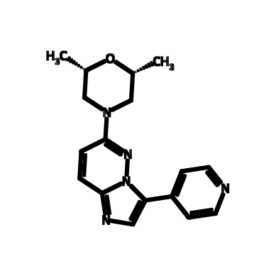 C[C@@H]1CN(c2ccc3ncc(-c4ccncc4)n3n2)C[C@H](C)O1